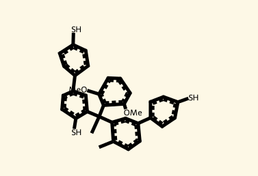 COc1cccc(OC)c1C(C)(c1cc(-c2ccc(S)cc2)ccc1C)c1cc(-c2ccc(S)cc2)ccc1S